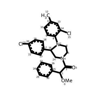 COC(C(=O)N1CCN(c2ccc(C)cc2Cl)C(c2ccc(Cl)cc2)C1)c1ccccc1